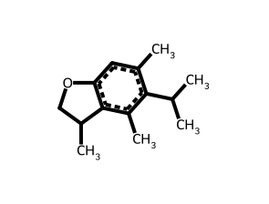 Cc1cc2c(c(C)c1C(C)C)C(C)CO2